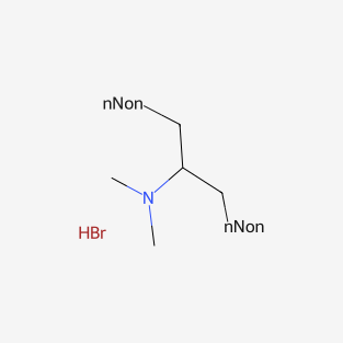 Br.CCCCCCCCCCC(CCCCCCCCCC)N(C)C